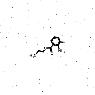 CCCOC(=O)c1cccc(F)c1N